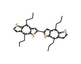 CCCc1c2cc(-c3cc4c(CCC)c5sccc5c(CCC)c4s3)sc2c(CCC)c2ccsc12